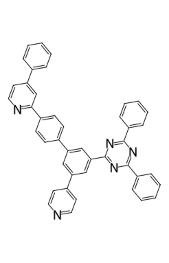 c1ccc(-c2ccnc(-c3ccc(-c4cc(-c5ccncc5)cc(-c5nc(-c6ccccc6)nc(-c6ccccc6)n5)c4)cc3)c2)cc1